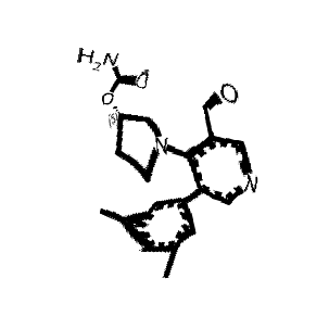 Cc1cc(C)cc(-c2cncc(C=O)c2N2CC[C@H](OC(N)=O)C2)c1